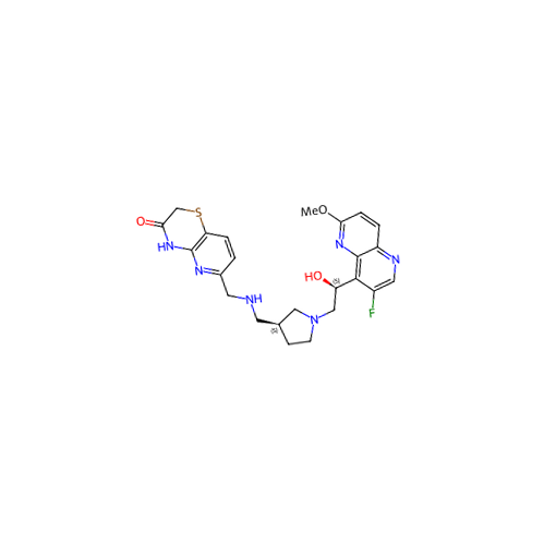 COc1ccc2ncc(F)c([C@H](O)CN3CC[C@@H](CNCc4ccc5c(n4)NC(=O)CS5)C3)c2n1